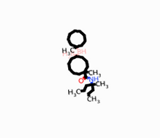 BC1(BC2(C)CCCCCCCC2)CCCCCC(C)(C(=O)NC(C)(CCC)CCC)CCC1